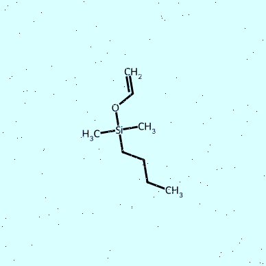 C=CO[Si](C)(C)CCCC